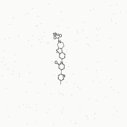 Cc1ccc(-c2ccn(-c3ccc4c5c(sc4c3)CN(C(=O)OC(C)(C)C)CC5)c(=O)c2)nc1